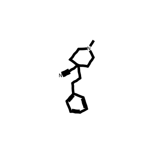 CN1CCC(C#N)(CCc2ccccc2)CC1